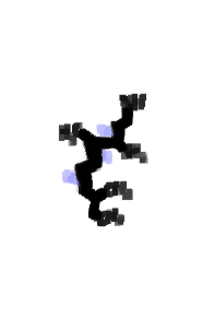 C=C(\C=C/C=C(C)/C(N)=C/C=N)CC